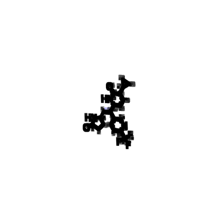 O=C1CC[C@H](/C=C(\c2ccc(C(F)(F)F)nc2)c2ccc(C3CC3)c(=O)[nH]2)N1